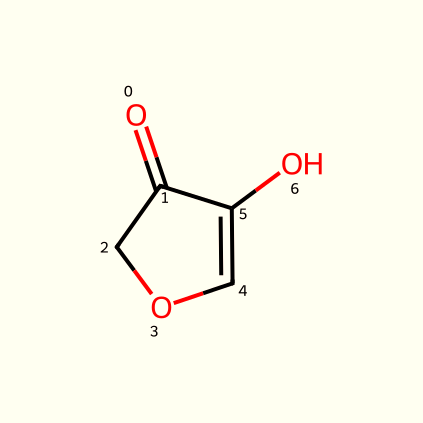 O=C1COC=C1O